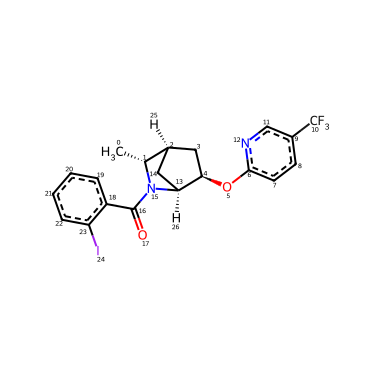 C[C@@H]1[C@H]2C[C@@H](Oc3ccc(C(F)(F)F)cn3)[C@H](C2)N1C(=O)c1ccccc1I